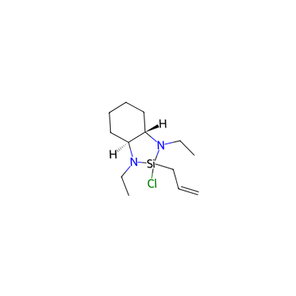 C=CC[Si]1(Cl)N(CC)[C@H]2CCCC[C@@H]2N1CC